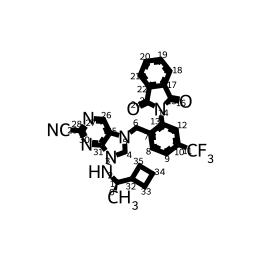 C[C@@H](NN1CN(Cc2ccc(C(F)(F)F)cc2N2C(=O)c3ccccc3C2=O)c2cnc(C#N)nc21)C1CCC1